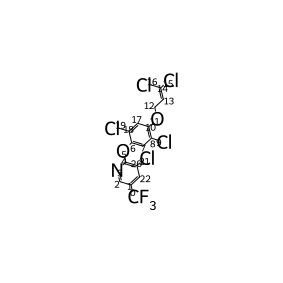 FC(F)(F)c1cnc(Oc2cc(Cl)c(OCC=C(Cl)Cl)cc2Cl)c(Cl)c1